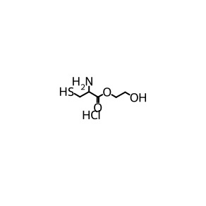 Cl.NC(CS)C(=O)OCCO